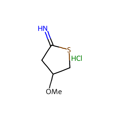 COC1CSC(=N)C1.Cl